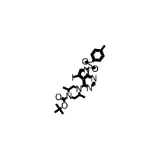 Cc1ccc(S(=O)(=O)n2cc(I)c3c(N4CC(C)N(C(=O)OC(C)(C)C)CC4C)ncnc32)cc1